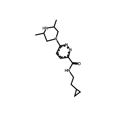 CC1CN(c2ccc(C(=O)NCCC3CC3)nn2)CC(C)N1